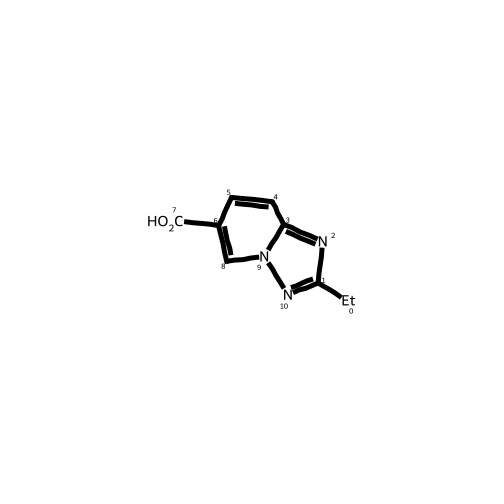 CCc1nc2ccc(C(=O)O)cn2n1